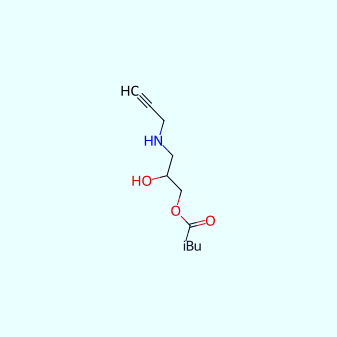 C#CCNCC(O)COC(=O)C(C)CC